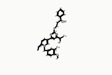 C/C=C1/C=CC(c2cc(C(F)F)nc(SCCC(O)c3ccccc3)n2)=CN1Cc1ccc(OC)c(F)c1